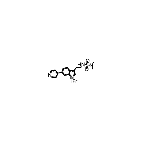 CC(C)n1cc(CCNS(=O)(=O)N(C)C)c2ccc(-c3ccncc3)cc21